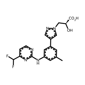 Cc1cc(Nc2nccc(C(F)F)n2)cc(-c2cnn(C[C@H](O)C(=O)O)c2)c1